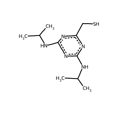 CC(C)Nc1nc(CS)nc(NC(C)C)n1